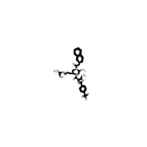 Cc1nc(-c2ccc(C(F)(F)F)cc2)sc1C(=O)N1CC(C)N(C(=O)Cc2ccc3ccccc3c2)CC1CCCNC(=N)N